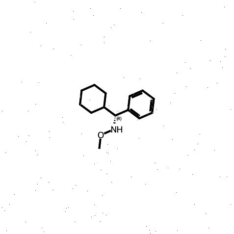 CON[C@@H](c1ccccc1)C1CCCCC1